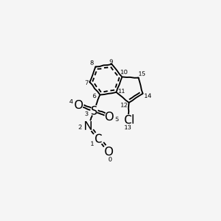 O=C=NS(=O)(=O)c1cccc2c1C(Cl)=CC2